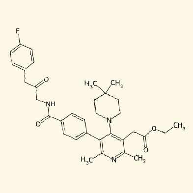 CCOC(=O)Cc1c(C)nc(C)c(-c2ccc(C(=O)NCC(=O)Cc3ccc(F)cc3)cc2)c1N1CCC(C)(C)CC1